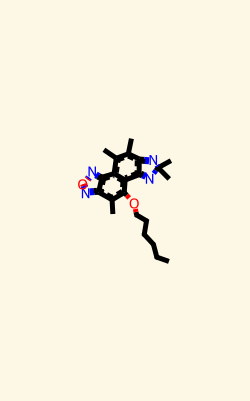 CCCCCCOc1c(C)c2nonc2c2c(C)c(C)c3c(c12)=NC(C)(C)N=3